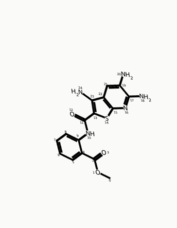 COC(=O)c1ccccc1NC(=O)c1sc2nc(N)c(N)cc2c1N